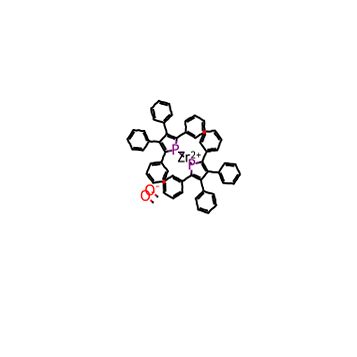 C[O-].C[O-].c1ccc(-c2c(-c3ccccc3)c(-c3ccccc3)[p]([Zr+2][p]3c(-c4ccccc4)c(-c4ccccc4)c(-c4ccccc4)c3-c3ccccc3)c2-c2ccccc2)cc1